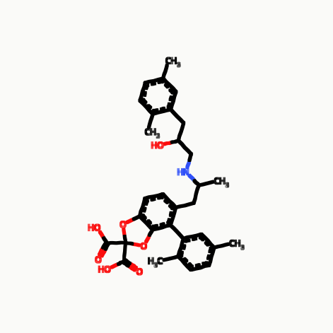 Cc1ccc(C)c(CC(O)CNC(C)Cc2ccc3c(c2-c2cc(C)ccc2C)OC(C(=O)O)(C(=O)O)O3)c1